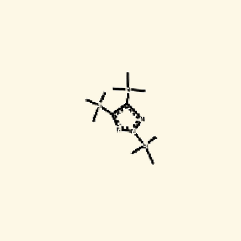 C[Si](C)(C)c1nn([Si](C)(C)C)nc1[Si](C)(C)C